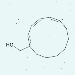 OCC1=CC=CC=CCCCCCC1